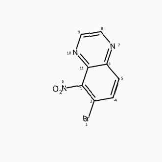 O=[N+]([O-])c1c(Br)ccc2nccnc12